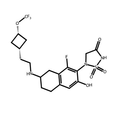 O=C1CN(c2c(O)cc3c(c2F)CC(NCC[C@H]2C[C@@H](OC(F)(F)F)C2)CC3)S(=O)(=O)N1